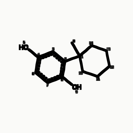 CC1(c2cc(O)ccc2O)CCCCC1